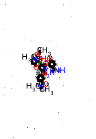 CCOC(=O)[N+]1(C)CCC(Oc2c(F)c(Oc3cccc(C(=O)N(C)C)c3)nc(Oc3cc(C(=N)N)ccc3O)c2F)C1